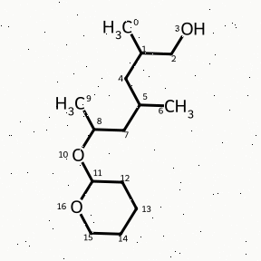 CC(CO)CC(C)CC(C)OC1CCCCO1